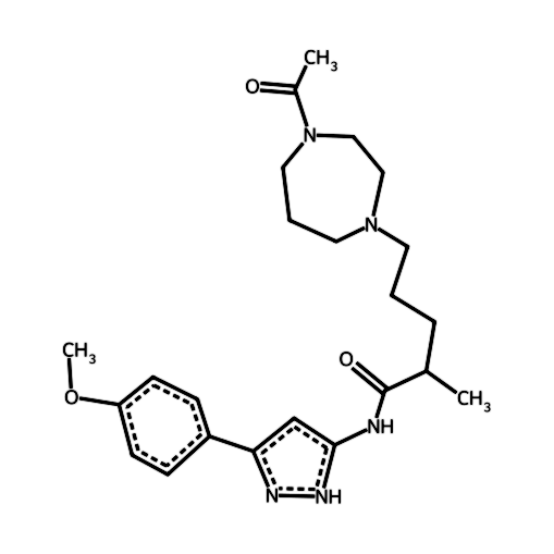 COc1ccc(-c2cc(NC(=O)C(C)CCCN3CCCN(C(C)=O)CC3)[nH]n2)cc1